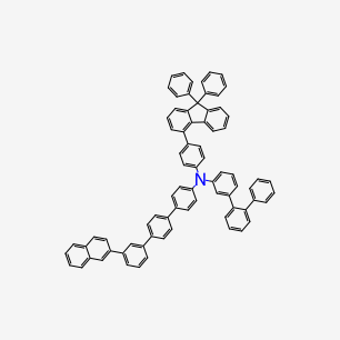 c1ccc(-c2ccccc2-c2cccc(N(c3ccc(-c4ccc(-c5cccc(-c6ccc7ccccc7c6)c5)cc4)cc3)c3ccc(-c4cccc5c4-c4ccccc4C5(c4ccccc4)c4ccccc4)cc3)c2)cc1